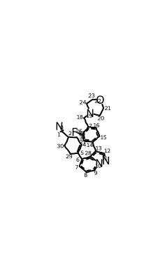 N#CC1CC=C(c2cccn3ncc(-c4ccc(CN5CCOCC5)c(F)c4)c23)CC1